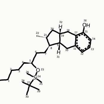 CCCCC[C@@H](CC[C@@H]1[C@H]2Cc3cccc(O)c3C[C@H]2C[C@H]1C)O[Si](C)(C)C(C)(C)C